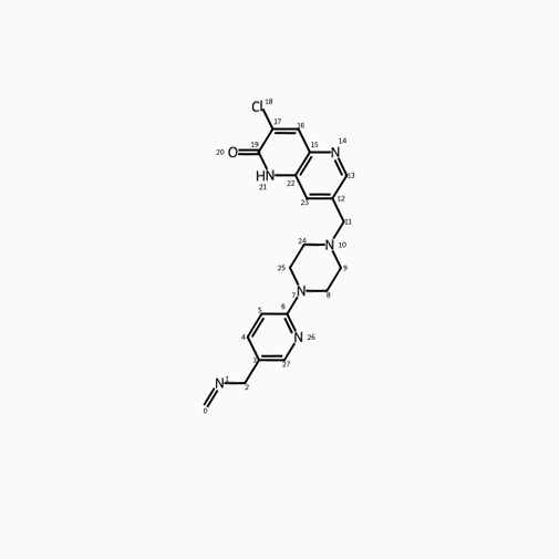 C=NCc1ccc(N2CCN(Cc3cnc4cc(Cl)c(=O)[nH]c4c3)CC2)nc1